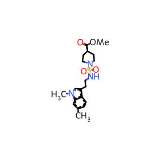 COC(=O)C1CCN(S(=O)(=O)NCCc2cn(C)c3cc(C)ccc23)CC1